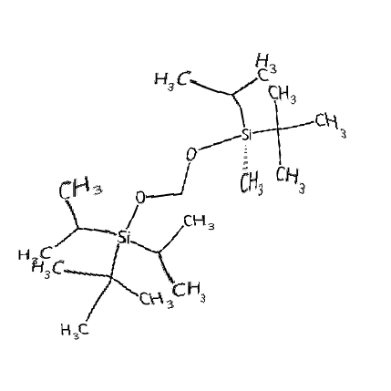 CC(C)[Si](OCO[Si@@](C)(C(C)C)C(C)(C)C)(C(C)C)C(C)(C)C